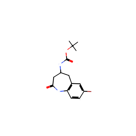 CC(C)(C)OC(=O)NC1CC(=O)Nc2ccc(Br)cc2C1